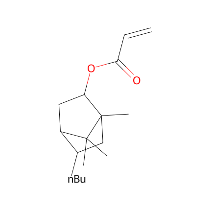 C=CC(=O)OC1CC2C(CCCC)CC1(C)C2(C)C